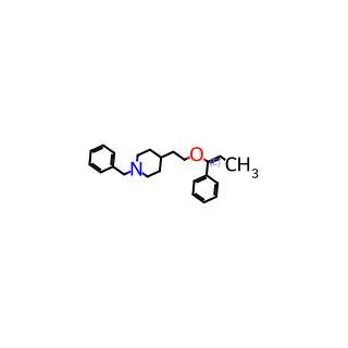 C/C=C(/OCCC1CCN(Cc2ccccc2)CC1)c1ccccc1